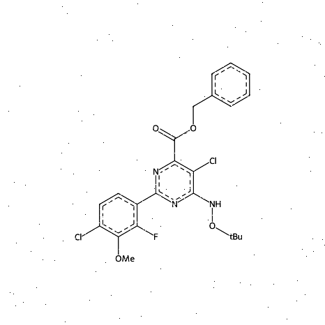 COc1c(Cl)ccc(-c2nc(NOC(C)(C)C)c(Cl)c(C(=O)OCc3ccccc3)n2)c1F